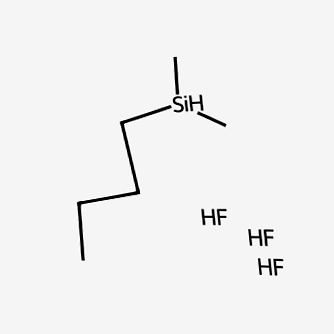 CCCC[SiH](C)C.F.F.F